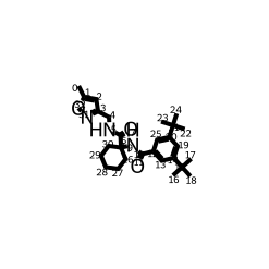 Cc1cc(CNC(=O)C2(NC(=O)c3cc(C(C)(C)C)cc(C(C)(C)C)c3)CCCCC2)no1